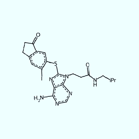 CC(C)CNC(=O)CCn1c(Sc2cc3c(cc2I)CCC3=O)nc2c(N)ncnc21